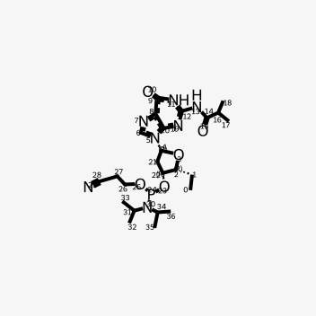 CC[C@H]1O[C@@H](n2cnc3c(=O)[nH]c(NC(=O)C(C)C)nc32)C[C@H]1OP(OCCC#N)N(C(C)C)C(C)C